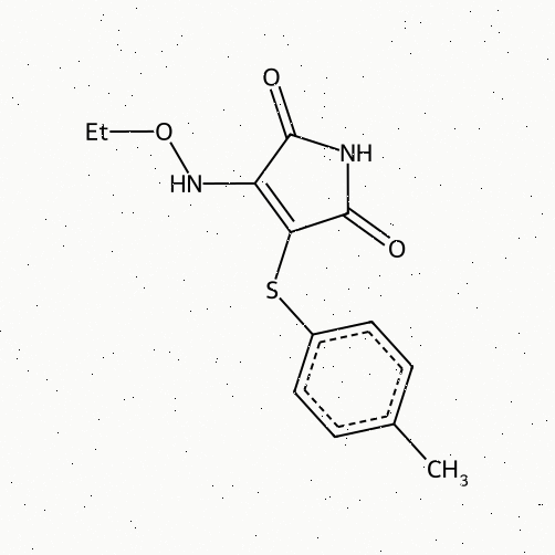 CCONC1=C(Sc2ccc(C)cc2)C(=O)NC1=O